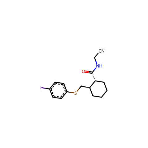 N#CCNC(=O)[C@@H]1CCCC[C@H]1CSc1ccc(I)cc1